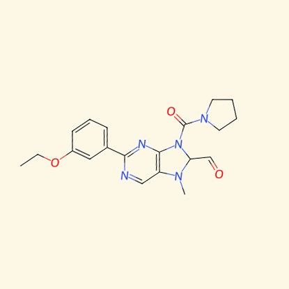 CCOc1cccc(-c2ncc3c(n2)N(C(=O)N2CCCC2)C(C=O)N3C)c1